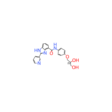 O=C(Nc1ccc(OC[C@@H](O)CO)cc1)c1cccc2[nH]c(-c3cccnc3)nc12